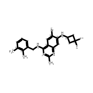 Cc1nc(NCc2cccc(C(F)(F)F)c2C)c2cc(Br)c(NC3CC(F)(F)C3)cc2n1